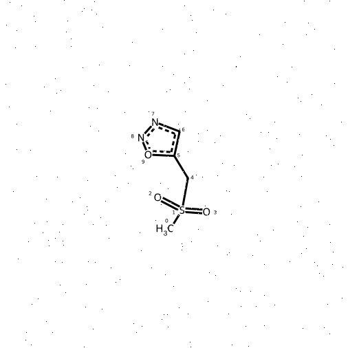 CS(=O)(=O)Cc1[c]nno1